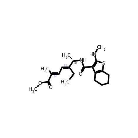 CC/C(=C\C=C(/C)C(=O)OC)[C@H](C)NC(=O)c1c(NC)sc2c1CCCC2